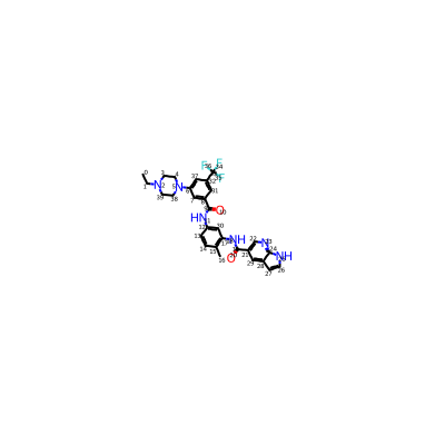 CCN1CCN(c2cc(C(=O)Nc3ccc(C)c(NC(=O)c4cnc5[nH]ccc5c4)c3)cc(C(F)(F)F)c2)CC1